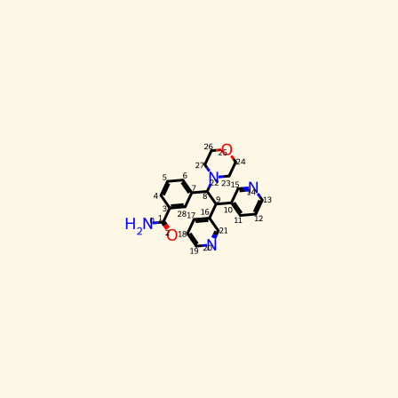 NC(=O)c1cccc(C(C(c2cccnc2)c2cccnc2)N2CCOCC2)c1